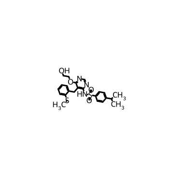 CSc1ccccc1Cc1c(NS(=O)(=O)c2ccc(C(C)C)cc2)ncnc1OCCO